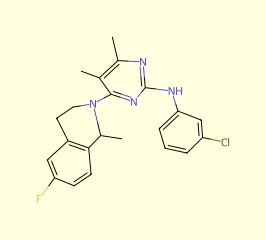 Cc1nc(Nc2cccc(Cl)c2)nc(N2CCc3cc(F)ccc3C2C)c1C